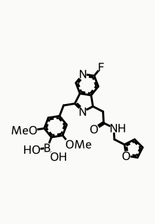 COc1cc(CC2=NC(CC(=O)NCc3ccco3)c3cc(F)ncc32)cc(OC)c1B(O)O